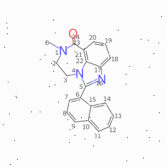 CN1CCn2c(-c3cccc4ccccc34)nc3cccc(c32)C1=O